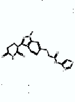 Cn1nc(C2CCC(=O)NC2=O)c2ccc(OCC(=O)Nc3cscn3)cc21